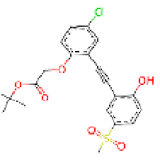 CC(C)(C)OC(=O)COc1ccc(Cl)cc1C#Cc1cc(S(C)(=O)=O)ccc1O